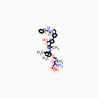 Cc1c(-c2ccc(-c3ccc4c(c3)N(C(=O)Nc3nc5ccccc5s3)CCC4)nc2C(=O)O)cnn1CC12CC3(C)CC(C)(C1)CC(OCCN(C)C(=O)[C@@H](N)CS(=O)(=O)O)(C3)C2